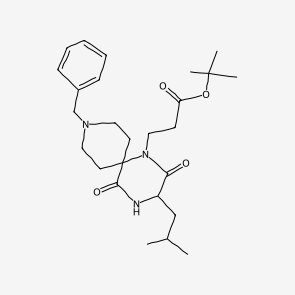 CC(C)CC1NC(=O)C2(CCN(Cc3ccccc3)CC2)N(CCC(=O)OC(C)(C)C)C1=O